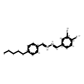 CCCCCc1ccc(/C=N/N=C/c2ccc(F)c(F)c2)cc1